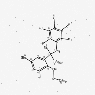 CCCCCC(CC)(Pc1c(F)c(F)c(F)c(F)c1F)c1cc(C(C)(C)C)cc(C)c1OCOC